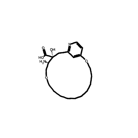 N[C@H]1COCCCCCCCCCCOc2ccnc(c2)C[C@]1(O)C(=O)O